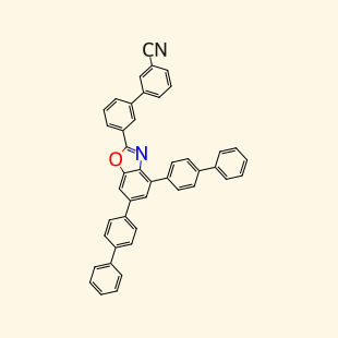 N#Cc1cccc(-c2cccc(-c3nc4c(-c5ccc(-c6ccccc6)cc5)cc(-c5ccc(-c6ccccc6)cc5)cc4o3)c2)c1